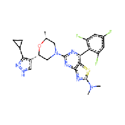 C[C@@H]1CN(c2nc(-c3c(F)cc(F)cc3F)c3sc(N(C)C)nc3n2)C[C@H](c2c[nH]nc2C2CC2)O1